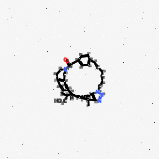 Cc1c2ccc3c1nnn3CCCCCCc1ccc(cc1)C(=O)N1CCc3ccc(cc3C1)[C@H]2[C@H](C)C(=O)O